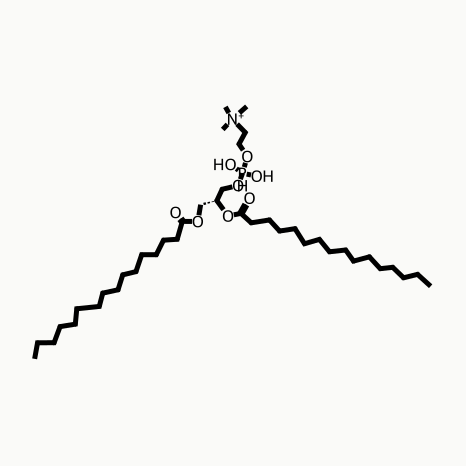 CCCCCCCCCCCCCCCC(=O)OC[C@H](CO[PH](O)(O)OCC[N+](C)(C)C)OC(=O)CCCCCCCCCCCCCCC